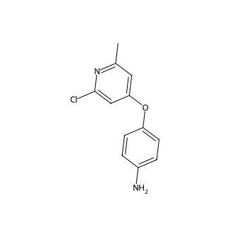 Cc1cc(Oc2ccc(N)cc2)cc(Cl)n1